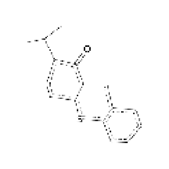 CC(C)c1ccc2sc3ccccc3cc-2c1=O